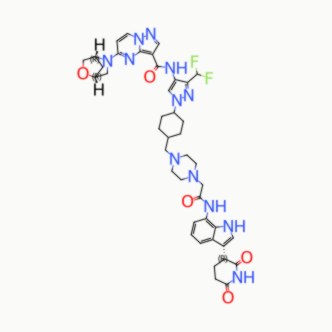 O=C1CC[C@H](c2c[nH]c3c(NC(=O)CN4CCN(CC5CCC(n6cc(NC(=O)c7cnn8ccc(N9C[C@H]%10C[C@@H]9CO%10)nc78)c(C(F)F)n6)CC5)CC4)cccc23)C(=O)N1